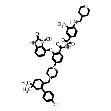 Cn1c(=O)[nH]c2cccc(Oc3cc(N4CCN(CC5=C(c6ccc(Cl)cc6)CC(C)(C)CC5)CC4)ccc3C(=O)NS(=O)(=O)c3ccc(NCC4CCOCC4)c([N+](=O)[O-])c3)c21